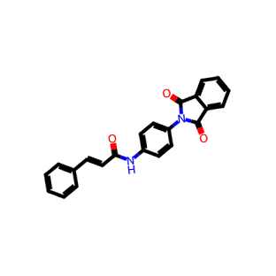 O=C(C=Cc1ccccc1)Nc1ccc(N2C(=O)c3ccccc3C2=O)cc1